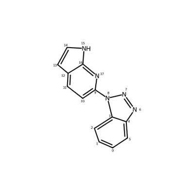 c1ccc2c(c1)nnn2-c1ccc2cc[nH]c2n1